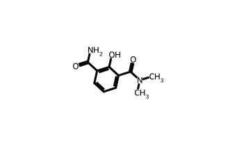 CN(C)C(=O)c1cccc(C(N)=O)c1O